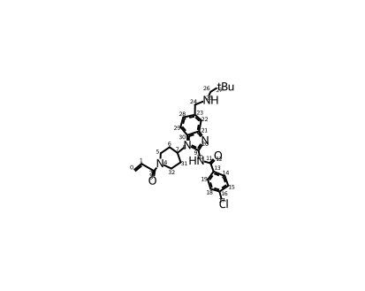 C=CC(=O)N1CCC(n2c(NC(=O)c3ccc(Cl)cc3)nc3cc(CNCC(C)(C)C)ccc32)CC1